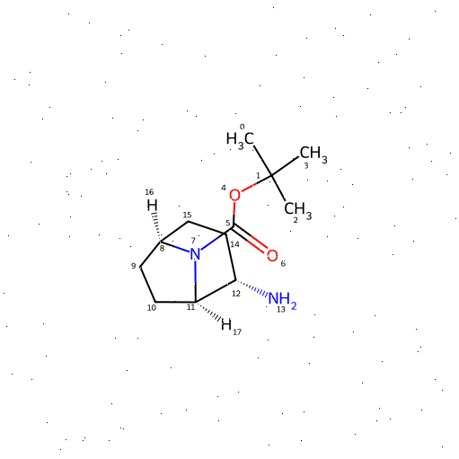 CC(C)(C)OC(=O)N1[C@H]2CC[C@@H]1[C@@H](N)CC2